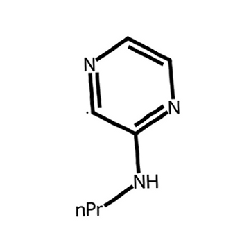 CCCNc1[c]nccn1